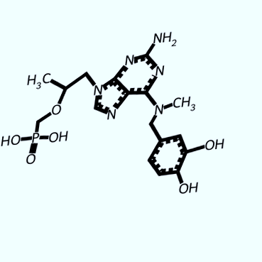 CC(Cn1cnc2c(N(C)Cc3ccc(O)c(O)c3)nc(N)nc21)OCP(=O)(O)O